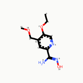 CCOc1cnc(/C(N)=N/O)cc1COC